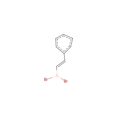 BrB(Br)C=Cc1ccccc1